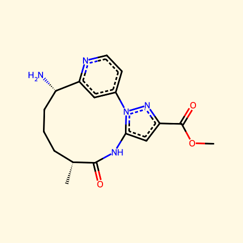 COC(=O)c1cc2n(n1)-c1ccnc(c1)[C@@H](N)CCC[C@@H](C)C(=O)N2